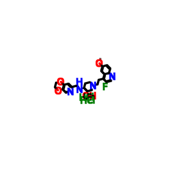 COc1ccc2ncc(F)c(CCN3CC[C@@H](NCc4cc5c(cn4)OCCO5)[C@H](O)C3)c2c1.Cl.Cl